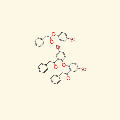 O=C(Cc1ccccc1)Oc1ccc(Br)cc1.O=C(Cc1ccccc1)c1cc(Br)ccc1Oc1ccc(Br)cc1C(=O)Cc1ccccc1